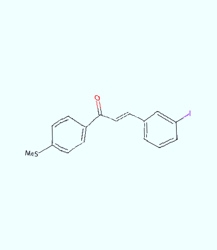 CSc1ccc(C(=O)C=Cc2cccc(I)c2)cc1